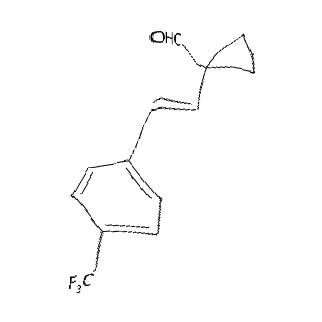 O=CC1(C=Cc2ccc(C(F)(F)F)cc2)CC1